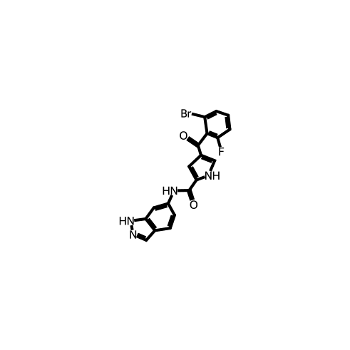 O=C(Nc1ccc2cn[nH]c2c1)c1cc(C(=O)c2c(F)cccc2Br)c[nH]1